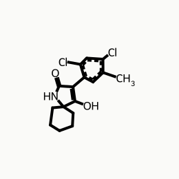 Cc1cc(C2=C(O)C3(CCCCC3)NC2=O)c(Cl)cc1Cl